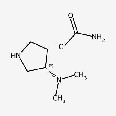 CN(C)[C@H]1CCNC1.NC(=O)Cl